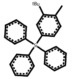 Cc1ccc([Si](c2ccccc2)(c2ccccc2)c2ccccc2)cc1C(C)(C)C